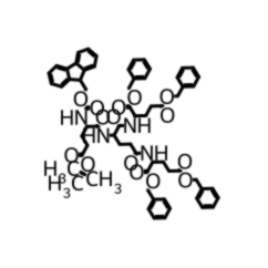 CC(C)(C)OC(=O)CCC(NC(=O)OCC1c2ccccc2-c2ccccc21)C(=O)NC(CCC(=O)NC(CCC(=O)OCc1ccccc1)C(=O)OCc1ccccc1)C(=O)NC(CCC(=O)OCc1ccccc1)C(=O)OCc1ccccc1